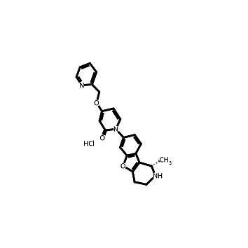 C[C@@H]1NCCc2oc3cc(-n4ccc(OCc5ccccn5)cc4=O)ccc3c21.Cl